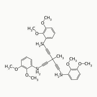 COc1cccc([SiH2]C#CC(C)(C#C[SiH2]c2cccc(OC)c2OC)C#C[SiH2]c2cccc(OC)c2OC)c1OC